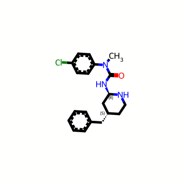 CN(C(=O)N[C@@H]1C[C@@H](Cc2ccccc2)CCN1)c1ccc(Cl)cc1